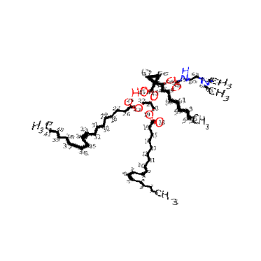 CCCCC/C=C\C/C=C\CCCCCCCC(=O)OCC(COC(=O)CCCCCCC/C=C\C/C=C\CCCCC)OC(O)C1(C(CCCCCCCC)OC(=O)NCCN(C)CC)CC1